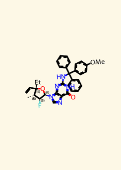 C=C[C@]1(CC)O[C@@H](n2cnc3c(=O)[nH]c(NC(c4ccccc4)(c4ccccc4)c4ccc(OC)cc4)nc32)[C@@H](F)[C@@H]1C